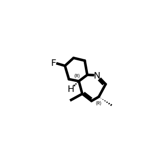 CC1=C[C@@H](C)C=NC2CCC(F)C[C@H]12